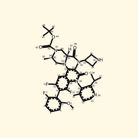 COc1cccc(F)c1-c1c(F)cc2c3c(c(=O)n(-c4c(C)ccnc4C(C)C)c2c1F)N(C1CNC1)C(=O)[C@H]1CN(C(=O)OC(C)(C)C)[C@H](C)CN31